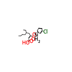 CCCCC(CC)C/C(=C/C(=O)O)C(=O)O[SiH2]c1cccc(Cl)c1